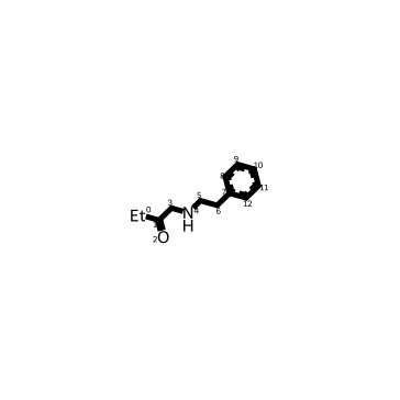 CCC(=O)CNCCc1ccccc1